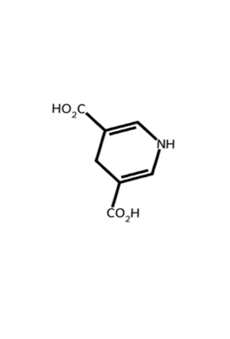 O=C(O)C1=CNC=C(C(=O)O)C1